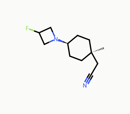 C[C@]1(CC#N)CC[C@@H](N2CC(F)C2)CC1